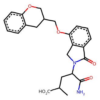 CC(CC(C(N)=O)N1Cc2c(OCC3COc4ccccc4C3)cccc2C1=O)C(=O)O